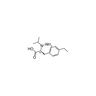 CCc1ccc(C[C@@H](C(=O)O)N(N)C(C)C)cc1